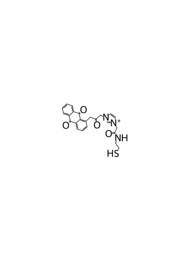 O=C(Cc1cccc2c1C(=O)c1ccccc1C2=O)Cn1cc[n+](CC(=O)NCCS)c1